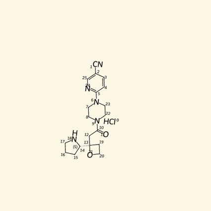 Cl.N#Cc1ccc(N2CCN(C(=O)CC3([C@@H]4CCCN4)CCO3)CC2)nc1